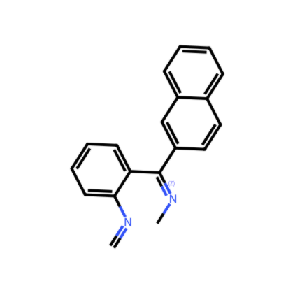 C=Nc1ccccc1/C(=N\C)c1ccc2ccccc2c1